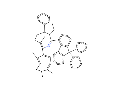 CCC1\C(c2cccc3c2-c2ccccc2C3(c2ccccc2)c2ccccc2)=N/C(C2=C/C=C(/C)C(C)C\C=C\2C)=C(\C)CCC1c1ccccc1